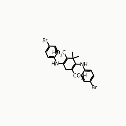 CC1(C)C(Nc2ccc(Br)cc2)=C(C(=O)O)CC(Nc2ccc(Br)cc2)=C1C(=O)O